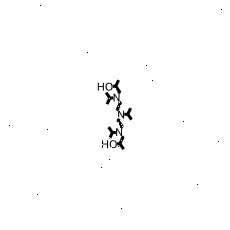 CC(O)CN(CCN(CCN(CC(C)O)C(C)C)C(C)C)C(C)C